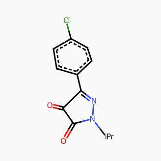 CC(C)N1N=C(c2ccc(Cl)cc2)C(=O)C1=O